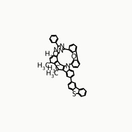 CC1C=CC2(C)C3=C1C(C)c1c(n(c4ccc(-c5ccc6sc7ccccc7c6c5)cc14)-c1cccc4c1oc1c(cccc14)-c1nc(-c4ccccc4)nc2n1)C3C